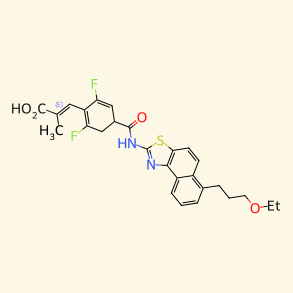 CCOCCCc1cccc2c1ccc1sc(NC(=O)C3C=C(F)C(/C=C(\C)C(=O)O)=C(F)C3)nc12